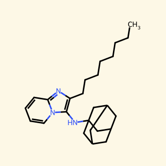 CCCCCCCCc1nc2ccccn2c1NC12CC3CC(CC(C3)C1)C2